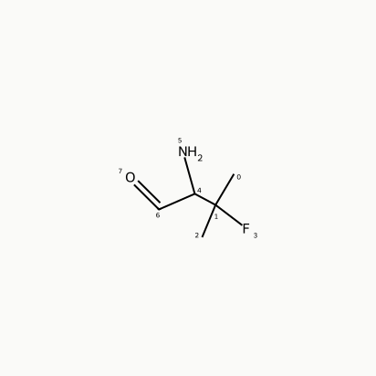 CC(C)(F)C(N)C=O